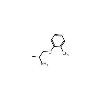 C[C@H](N)COc1ccccc1C(F)(F)F